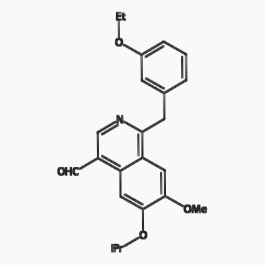 CCOc1cccc(Cc2ncc(C=O)c3cc(OC(C)C)c(OC)cc23)c1